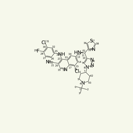 CC(C)(C)N1CCC(n2cc([C@@H](Nc3cc(Cl)c4ncc(C#N)c(Nc5ccc(F)c(Cl)c5)c4c3)c3cscn3)nn2)CC1